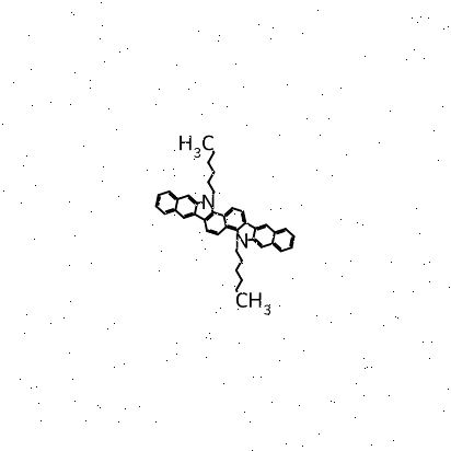 CCCCCCn1c2cc3ccccc3cc2c2ccc3c(ccc4c5cc6ccccc6cc5n(CCCCCC)c43)c21